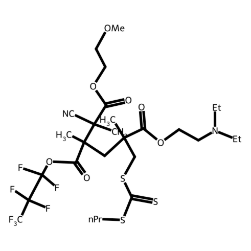 CCCSC(=S)SCC(C)(CC(C)(C(=O)OC(F)(F)C(F)(F)C(F)(F)F)C(C)(C#N)C(=O)OCCOC)C(=O)OCCN(CC)CC